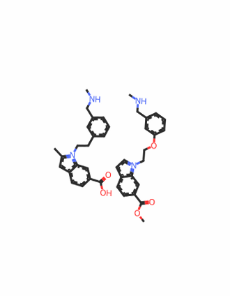 CNCc1cccc(CCn2c(C)cc3ccc(C(=O)O)cc32)c1.CNCc1cccc(OCCn2ccc3ccc(C(=O)OC)cc32)c1